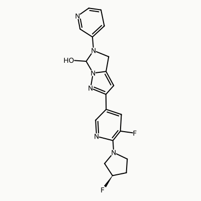 OC1N(c2cccnc2)Cc2cc(-c3cnc(N4CC[C@@H](F)C4)c(F)c3)nn21